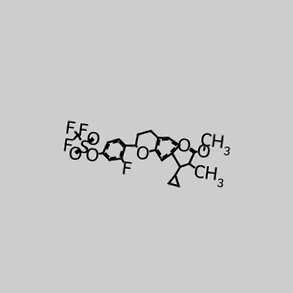 COC(=O)C(C)C(c1ccc2c(c1)OC(c1ccc(OS(=O)(=O)C(F)(F)F)cc1F)CC2)C1CC1